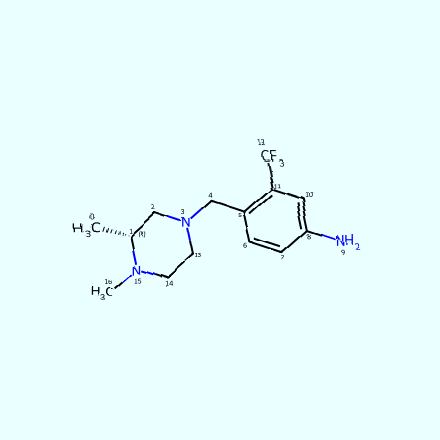 C[C@@H]1CN(Cc2ccc(N)cc2C(F)(F)F)CCN1C